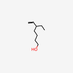 C=CC(CC)CCCCO